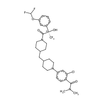 CN(C)C(=O)c1ccc(N2CCC(CC3CCN(C(=O)[C@](O)(c4cccc(OC(F)F)c4)C(F)(F)F)CC3)CC2)cc1Cl